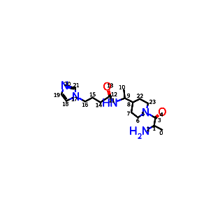 CC(N)C(=O)N1CCC(C(C)NC(=O)CCCn2ccnc2)CC1